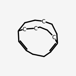 C1=CC2CCCCCC(=CCC1)CCCCC2